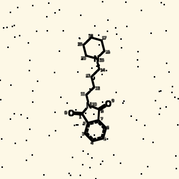 O=C1c2ccccc2C(=O)N1CCCCN1CCCCC1